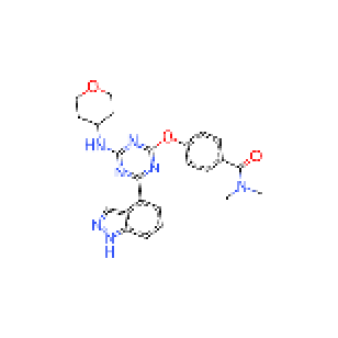 CN(C)C(=O)c1ccc(Oc2nc(NC3CCOCC3)nc(-c3cccc4[nH]ncc34)n2)cc1